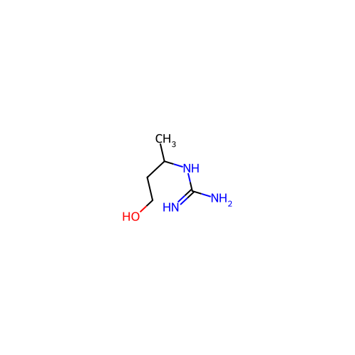 CC(CCO)NC(=N)N